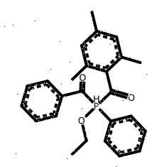 CCO[PH](C(=O)c1ccccc1)(C(=O)c1c(C)cc(C)cc1C)c1ccccc1